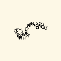 C[C@H]1CN(c2ccn3ncc(C(=O)Nc4cn([C@H]5CC[C@H](CN6CCN(CC#Cc7cccc8c7n(C)c(=O)n8C7CCC(=O)NC7=O)CC6)CC5)nc4C(F)F)c3n2)CCO1